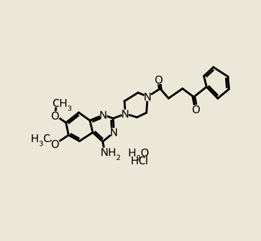 COc1cc2nc(N3CCN(C(=O)CCC(=O)c4ccccc4)CC3)nc(N)c2cc1OC.Cl.O